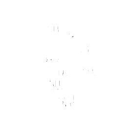 NC1CCCCC1.O=C(O)C(O)C(O)C(O)C(O)CO.O=C([O-])O.[Na+]